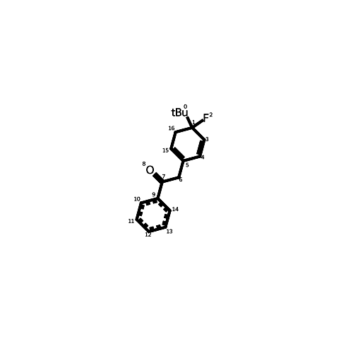 CC(C)(C)C1(F)C=CC(CC(=O)c2ccccc2)=CC1